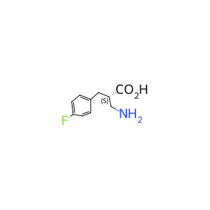 NC[C@H](Cc1ccc(F)cc1)C(=O)O